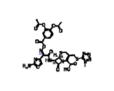 CC(=O)Oc1ccc(C(=O)O/N=C(\C(=O)N[C@@H]2C(=O)N3C(C(=O)O)=C(CSc4nnnn4C)CS[C@H]23)c2coc(N)n2)cc1OC(C)=O